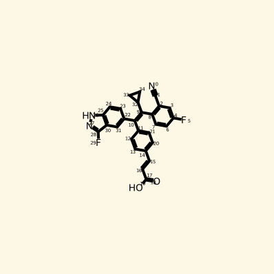 N#Cc1cc(F)ccc1/C(=C(\c1ccc(/C=C/C(=O)O)cc1)c1ccc2[nH]nc(F)c2c1)C1CC1